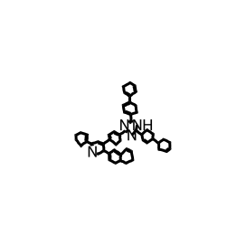 C1=CC(C2=CC=C(C3=NC(C4=CC=C(C5=CC(C6=CCCCC6)=NCC5C5=CCC6CCC=CC6=C5)CC4)=NC(C4C=CC(C5CC=CCC5)CC4)N3)CC2)=CCC1